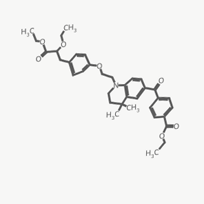 CCOC(=O)c1ccc(C(=O)c2ccc3c(c2)C(C)(C)CCN3CCOc2ccc(CC(OCC)C(=O)OCC)cc2)cc1